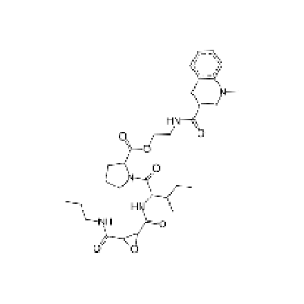 CCCNC(=O)C1OC1C(=O)NC(C(=O)N1CCCC1C(=O)OCCNC(=O)C1=CN(C)c2ccccc2C1)C(C)CC